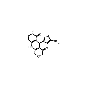 O=C1COCC2=C1C(c1csc([N+](=O)[O-])c1)C1=C(CCNC1=O)N2